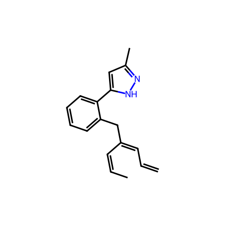 C=C/C=C(\C=C/C)Cc1ccccc1-c1cc(C)n[nH]1